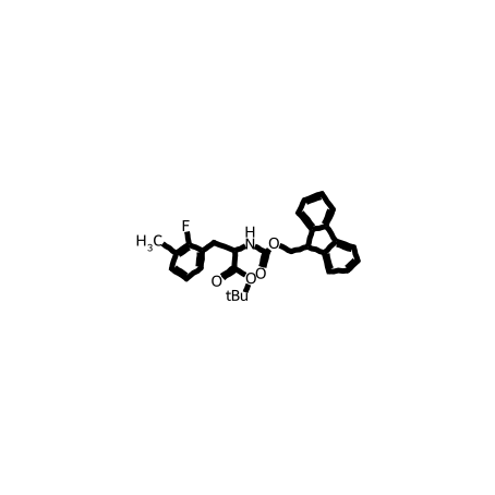 Cc1cccc(CC(NC(=O)OCC2c3ccccc3-c3ccccc32)C(=O)OC(C)(C)C)c1F